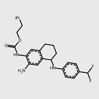 CC(C)CCOC(=O)Nc1cc2c(cc1N)C(Nc1ccc(C(F)F)cc1)CCC2